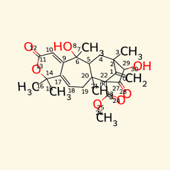 C=C1C2(C)CC3C(C)(O)C4=CC(=O)OC(C)(C)C4=CCC3(C)[C@]1(C(=O)OC)C(=O)C2O